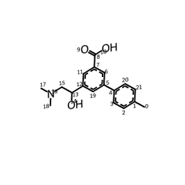 Cc1ccc(-c2cc(C(=O)O)cc(C(O)CN(C)C)c2)cc1